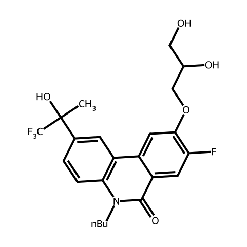 CCCCn1c(=O)c2cc(F)c(OCC(O)CO)cc2c2cc(C(C)(O)C(F)(F)F)ccc21